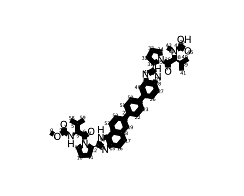 COC(=O)N[C@H](C(=O)N1CCC[C@H]1c1nc2ccc3cc(-c4ccc(-c5ccc6[nH]c([C@@H]7CCCN7C(=O)[C@H](C(C)C)N(C)C(=O)O)nc6c5)cc4)ccc3c2[nH]1)C(C)C